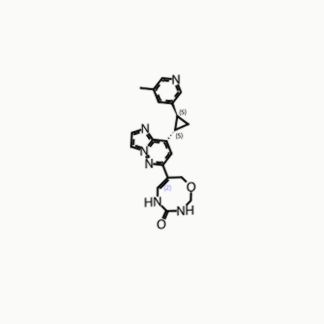 Cc1cncc([C@H]2C[C@@H]2c2cc(/C3=C/NC(=O)NCOC3)nn3ccnc23)c1